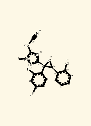 Cn1nc([C@@]2(c3ccc(F)cc3F)O[C@H]2c2ccccc2Cl)nc1SC#N